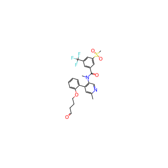 Cc1cc(-c2ccccc2OCCCC=O)c(N(C)C(=O)c2cc(C(F)(F)F)cc(S(C)(=O)=O)c2)cn1